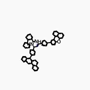 NC(NC(/C=C/c1ccc(-c2ccc3c(c2)-c2cccc4cccc(c24)O3)cc1)c1ccc(-c2c3ccccc3cc3c2ccc2ccccc23)cc1)c1ccccc1-c1ccccc1